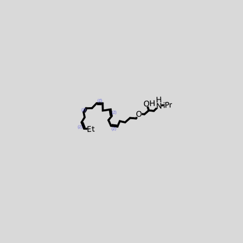 CC/C=C\C/C=C\C/C=C\C/C=C\C/C=C\CCCCOCC(O)CNC(C)C